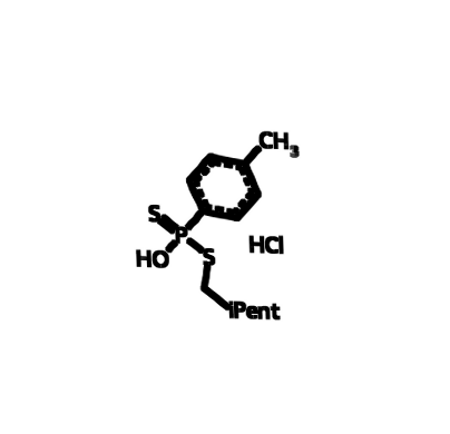 CCCC(C)CSP(O)(=S)c1ccc(C)cc1.Cl